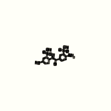 Nc1ccc(C(=O)Nc2ccc(S)cc2S(=O)(=O)O)cc1S(=O)(=O)O